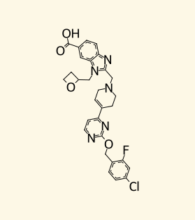 O=C(O)c1ccc2nc(CN3CC=C(c4ccnc(OCc5ccc(Cl)cc5F)n4)CC3)n(CC3CCO3)c2c1